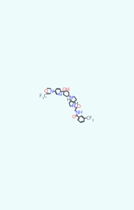 O=C(NCC(=O)N1CC[C@H]2[C@@H]1CCN2C1CCC(O)(c2ccc(N3CCO[C@@H](C(F)(F)F)C3)cn2)CC1)c1cccc(C(F)(F)F)c1